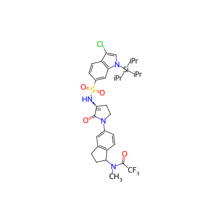 CC(C)[Si](C(C)C)(C(C)C)n1cc(Cl)c2ccc(S(=O)(=O)N[C@H]3CCN(c4ccc5c(c4)CCC5N(C)C(=O)C(F)(F)F)C3=O)cc21